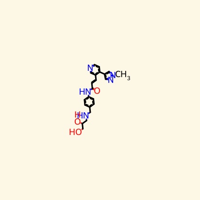 Cn1cc(-c2ccncc2C=CC(=O)Nc2ccc(CNCC(O)CO)cc2)cn1